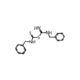 N=C(NCc1ccccc1)SC(=S)NCc1ccccc1